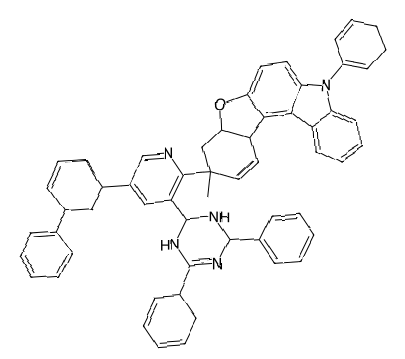 CC1(c2ncc(C3CC=CC(c4ccccc4)C3)cc2C2NC(C3C=CC=CC3)=NC(c3ccccc3)N2)C=CC2c3c(ccc4c3c3ccccc3n4C3=CCCC=C3)OC2C1